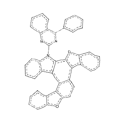 c1ccc(-c2nc(-n3c4ccccc4c4c5c(ccc6oc7ccccc7c65)c5c6ccccc6oc5c43)nc3ccccc23)cc1